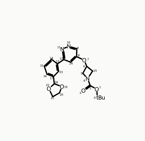 CC(C)(C)OC(=O)N1CC(Oc2cnnc(-c3cccc(C4OCCO4)c3)c2)C1